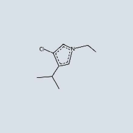 CCn1cc(Cl)c(C(C)C)c1